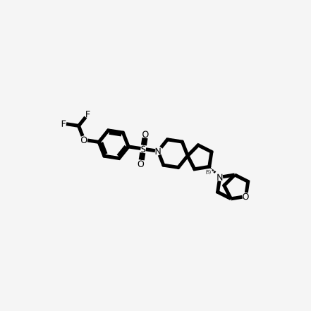 O=S(=O)(c1ccc(OC(F)F)cc1)N1CCC2(CC[C@H](N3CC4CC3CO4)C2)CC1